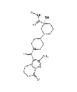 CCNC(=O)C1(S)CCCN(C2CCN(C(=O)c3c(N)sc4c3CCCC4=O)CC2)C1